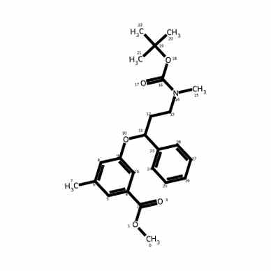 COC(=O)c1cc(C)cc(OC(CCN(C)C(=O)OC(C)(C)C)c2ccccc2)c1